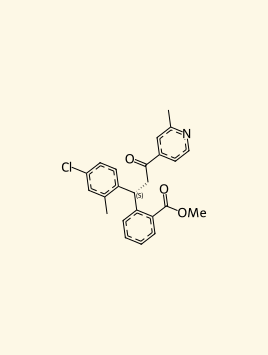 COC(=O)c1ccccc1[C@@H](CC(=O)c1ccnc(C)c1)c1ccc(Cl)cc1C